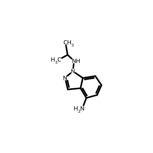 CC(C)Nn1ncc2c(N)cccc21